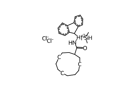 C[SiH](C)[Hf+2]([NH]C(=O)C1CCCCCCCCCCC1)[CH]1c2ccccc2-c2ccccc21.[Cl-].[Cl-]